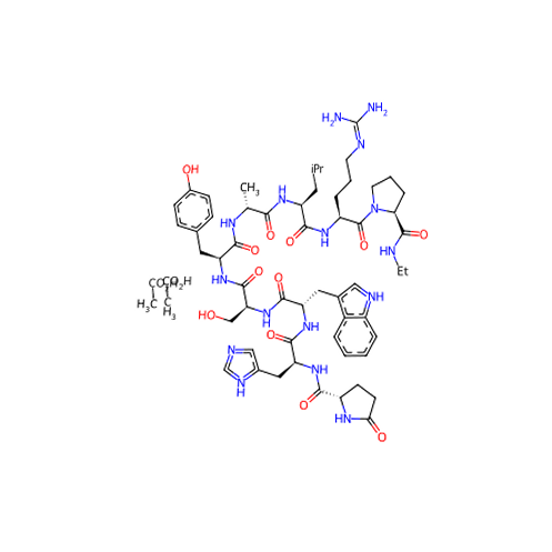 CC(=O)O.CC(=O)O.CCNC(=O)[C@@H]1CCCN1C(=O)[C@H](CCCN=C(N)N)NC(=O)[C@H](CC(C)C)NC(=O)[C@@H](C)NC(=O)[C@H](Cc1ccc(O)cc1)NC(=O)[C@H](CO)NC(=O)[C@H](Cc1c[nH]c2ccccc12)NC(=O)[C@H](Cc1cnc[nH]1)NC(=O)[C@@H]1CCC(=O)N1